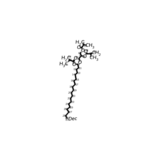 C=C(C)C(=O)OCC(COC(CCCCCCCCCCCCCCCCCCCCCCCCCCCC)OC(=O)C(=C)C)OC(=O)C(=C)C